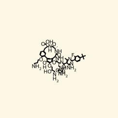 Cc1nc(-c2ccc(C(C)(C)C)cc2F)nc(N)c1C(=O)N[C@@H](CNS(N)(=O)=O)C(=O)N(C)[C@@H]1C(=O)N[C@@H](C)C(=O)N[C@H](C(=O)O)Cc2ccc(OCCCN)c(c2)-c2cc1cc(OC[C@H](O)CN)c2O